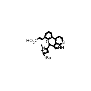 Cn1nc(C(C)(C)C)cc1C(=O)c1c[nH]c2nccc(-c3cccc(C=CC(=O)O)c3)c12